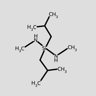 CN[Si](CC(C)C)(CC(C)C)NC